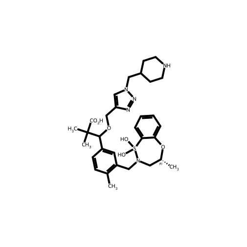 Cc1ccc(C(OCc2cn(CC3CCNCC3)nn2)C(C)(C)C(=O)O)cc1CN1C[C@@H](C)Oc2ccccc2S1(O)O